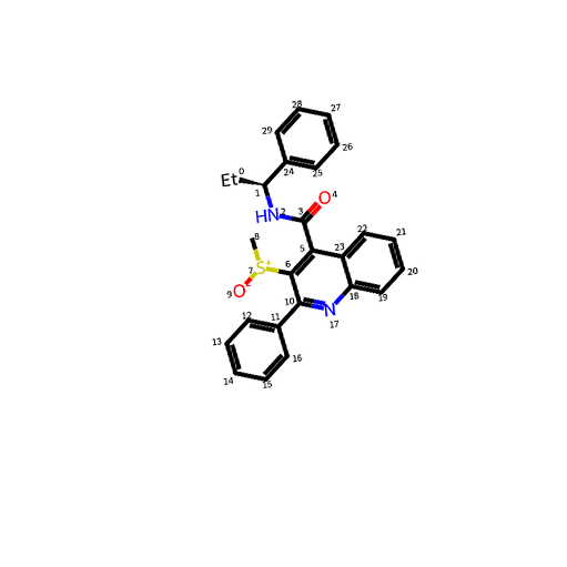 CC[C@H](NC(=O)c1c([S+](C)[O-])c(-c2ccccc2)nc2ccccc12)c1ccccc1